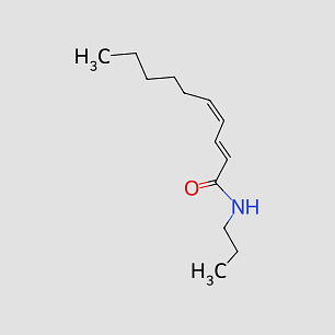 CCCCC/C=C\C=C\C(=O)NCCC